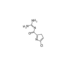 NC(N)=NC(=O)C1=NC(Cl)=CC1